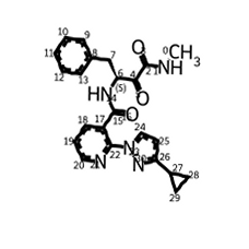 CNC(=O)C(=O)[C@H](Cc1ccccc1)NC(=O)c1cccnc1-n1ccc(C2CC2)n1